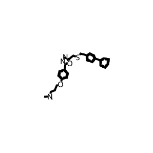 CN(C)CCCOc1ccc(-c2nnc(CSCc3ccc(-c4ccccc4)cc3)o2)cc1